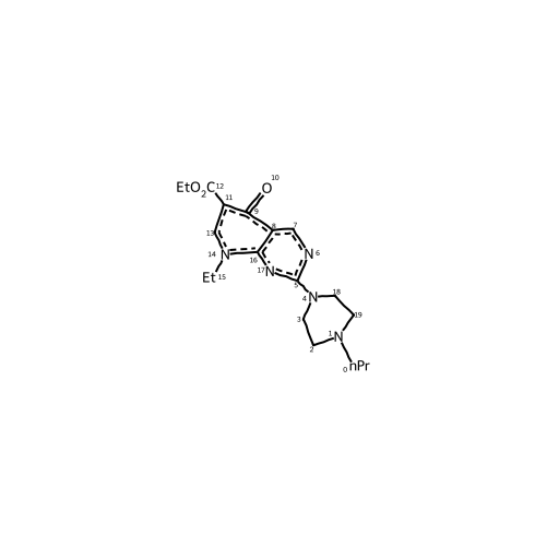 CCCN1CCN(c2ncc3c(=O)c(C(=O)OCC)cn(CC)c3n2)CC1